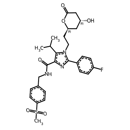 CC(C)c1c(C(=O)NCc2ccc(S(C)(=O)=O)cc2)nc(-c2ccc(F)cc2)n1CC[C@@H]1C[C@@H](O)CC(=O)O1